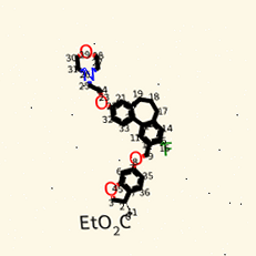 CCOC(=O)C[C@@H]1COc2cc(OCc3cc4c(cc3F)CCCc3cc(OCCN5CCOCC5)ccc3-4)ccc21